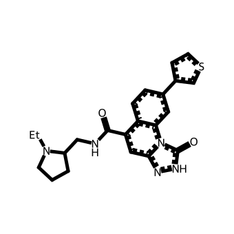 CCN1CCCC1CNC(=O)c1cc2n[nH]c(=O)n2c2cc(-c3ccsc3)ccc12